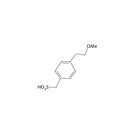 COCCc1ccc(CS(=O)(=O)O)cc1